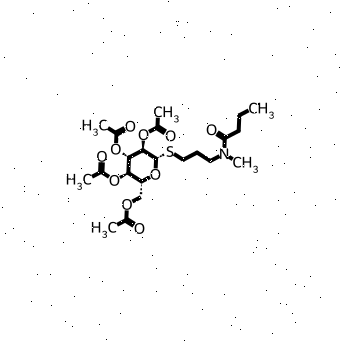 CCCC(=O)N(C)CCCS[C@@H]1O[C@H](COC(C)=O)[C@@H](OC(C)=O)[C@H](OC(C)=O)[C@H]1OC(C)=O